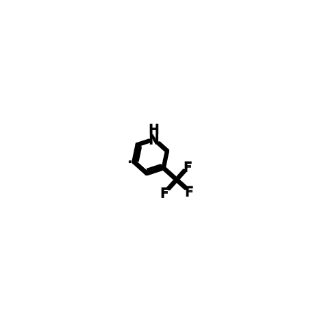 FC(F)(F)C1=C[C]=CNC1